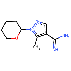 Cc1c(C(=N)N)cnn1C1CCCCO1